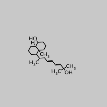 C[C@H](CC=CC=CC(C)(C)O)[C@H]1CCC[C@H]2[C@@H](O)CCC[C@]12C